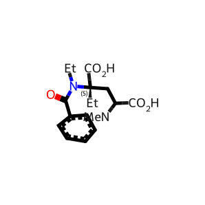 CCN(C(=O)c1ccccc1)[C@@](CC)(CC(NC)C(=O)O)C(=O)O